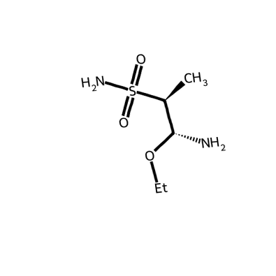 CCO[C@@H](N)[C@H](C)S(N)(=O)=O